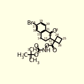 CC(C)(C)OC(=O)NOC(=O)C1(C2CCc3cc(Br)ccc3C2=O)CCC1